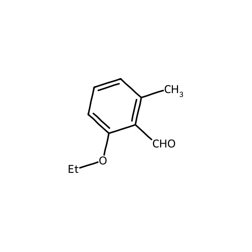 CCOc1cccc(C)c1C=O